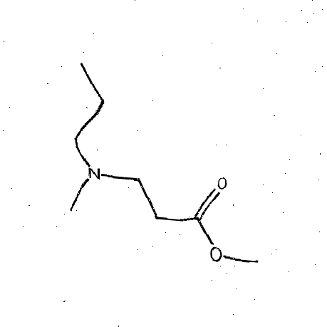 CCCN(C)CCC(=O)OC